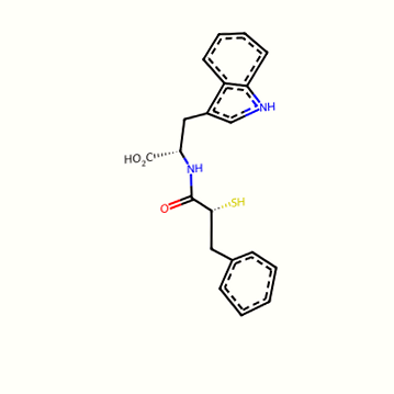 O=C(N[C@@H](Cc1c[nH]c2ccccc12)C(=O)O)[C@H](S)Cc1ccccc1